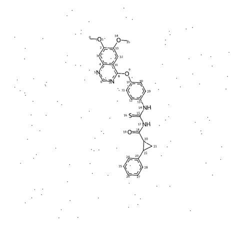 COc1cc2ncnc(Oc3ccc(NC(=S)NC(=O)C4CC4c4ccccc4)cc3)c2cc1OC